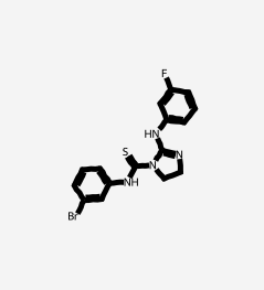 Fc1cccc(NC2=NCCN2C(=S)Nc2cccc(Br)c2)c1